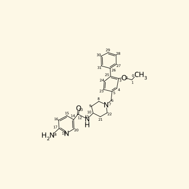 CCOc1cc(CN2CCC(NC(=O)c3ccc(N)nc3)CC2)ccc1-c1ccccc1